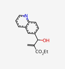 C=C(C(=O)OCC)C(O)c1ccc2ncccc2c1